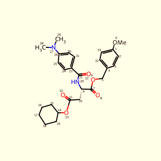 COc1ccc(COC(=O)[C@H](CC(=O)OC2CCCCC2)NC(=O)c2ccc(N(C)C)cc2)cc1